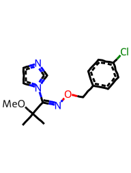 COC(C)(C)C(=NOCc1ccc(Cl)cc1)n1ccnc1